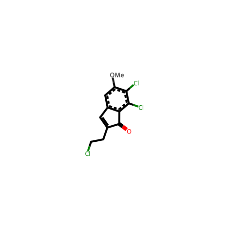 COc1cc2c(c(Cl)c1Cl)C(=O)C(CCCl)=C2